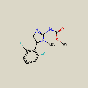 CC(C)OC(=O)NC1=NCC(c2c(F)cccc2F)N1C(C)(C)C